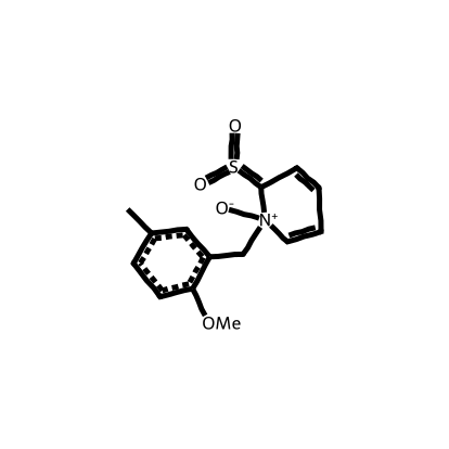 COc1ccc(C)cc1C[N+]1([O-])C=CC=CC1=S(=O)=O